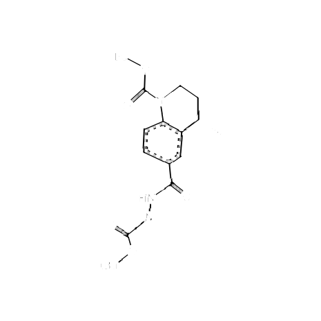 C[C@H]1CCN(C(=O)OC(C)(C)C)c2ccc(C(=O)NNC(=O)OC(C)(C)C)cc21